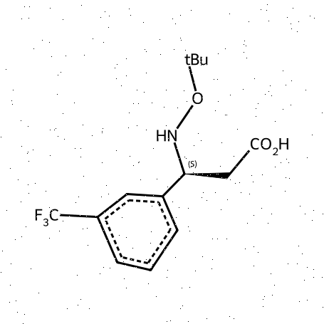 CC(C)(C)ON[C@@H](CC(=O)O)c1cccc(C(F)(F)F)c1